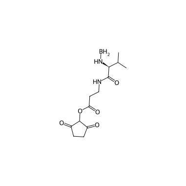 BN[C@H](C(=O)NCCC(=O)OC1C(=O)CCC1=O)C(C)C